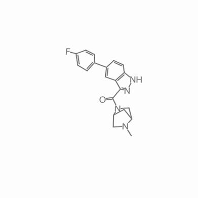 CN1CC2CC1CN2C(=O)c1n[nH]c2ccc(-c3ccc(F)cc3)cc12